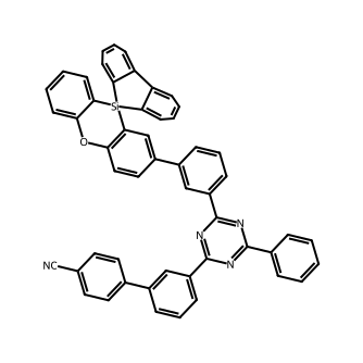 N#Cc1ccc(-c2cccc(-c3nc(-c4ccccc4)nc(-c4cccc(-c5ccc6c(c5)[Si]5(c7ccccc7O6)c6ccccc6-c6ccccc65)c4)n3)c2)cc1